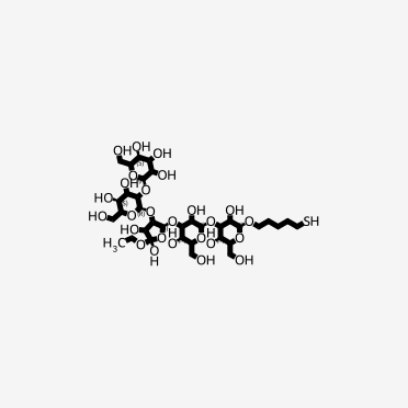 CCO[C@@]1(O)O[C@H](OC2C(O)[C@@H](OC3C(O)[C@@H](OCCCCCS)OC(CO)[C@H]3O)OC(CO)[C@H]2O)C(O[C@H]2OC(CO)[C@@H](O)C(O)C2O[C@H]2OC(CO)[C@@H](O)C(O)C2O)C1O